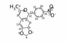 CC1=CC2=C(CC3OCOC3=C2)C(c2ccc([N+](=O)[O-])cc2)O1